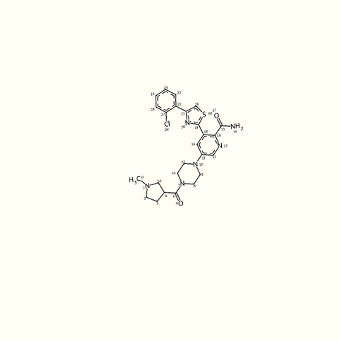 CN1CCC(C(=O)N2CCN(c3cnc(C(N)=O)c(-c4nc(-c5ccccc5Cl)cs4)c3)CC2)C1